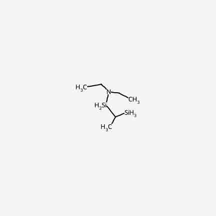 CCN(CC)[SiH2]C(C)[SiH3]